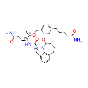 CNC(=O)CC[C@H](NC(=O)[C@@H]1Cc2cccc3c2N1C(=O)CCC3)[C@@H](C)OCc1ccc(CCCCC(N)=O)cc1